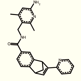 Cc1cc(N)nc(C)c1CNC(=O)c1ccc2c(c1)C1CC2C=C1c1ccccn1